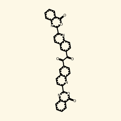 O=C(C(=O)c1ccc2nc(-c3nc4ccccc4c(=O)o3)ccc2c1)c1ccc2nc(-c3nc4ccccc4c(=O)o3)ccc2c1